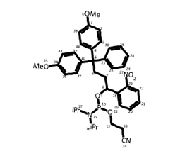 COc1ccc(C(CCC(OP(OCCC#N)N(C(C)C)C(C)C)c2ccccc2[N+](=O)[O-])(c2ccccc2)c2ccc(OC)cc2)cc1